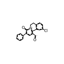 O=[C]c1cc(-c2ccccc2)c(=O)n2c1-c1cc(Cl)ccc1CC2